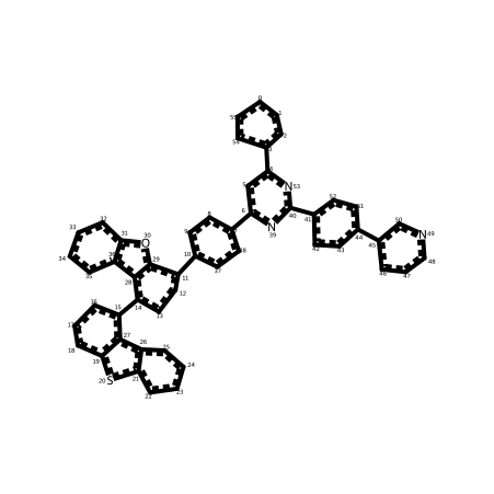 c1ccc(-c2cc(-c3ccc(-c4ccc(-c5cccc6sc7ccccc7c56)c5c4oc4ccccc45)cc3)nc(-c3ccc(-c4cccnc4)cc3)n2)cc1